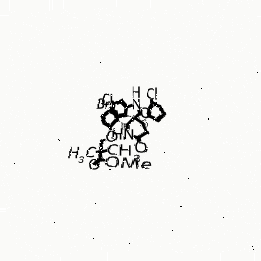 COC(=O)C(C)(C)COc1ccc(Br)cc1[C@H]1NC(=O)C[C@@H](c2cccc(Cl)c2)[C@]12C(=O)Nc1cc(Cl)ccc12